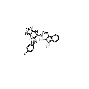 Cc1[nH]c2ccccc2c1/C=N\Nc1nc2nonc2nc1Nc1ccc(F)cc1